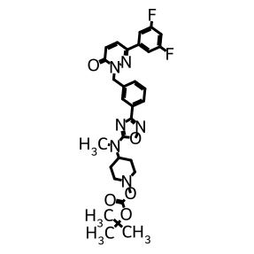 CN(c1nc(-c2cccc(Cn3nc(-c4cc(F)cc(F)c4)ccc3=O)c2)no1)C1CCN(OC(=O)OC(C)(C)C)CC1